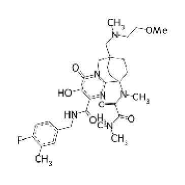 COCCN(C)CC12CCC(N(C)C(=O)C(=O)N(C)C)(CC1)c1nc(C(=O)NCc3ccc(F)c(C)c3)c(O)c(=O)n1C2